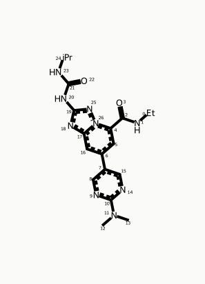 CCNC(=O)c1cc(-c2cnc(N(C)C)nc2)cc2nc(NC(=O)NC(C)C)nn12